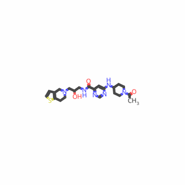 CC(=O)N1CCC(Nc2cc(C(=O)NCC(O)CN3CCc4sccc4C3)ncn2)CC1